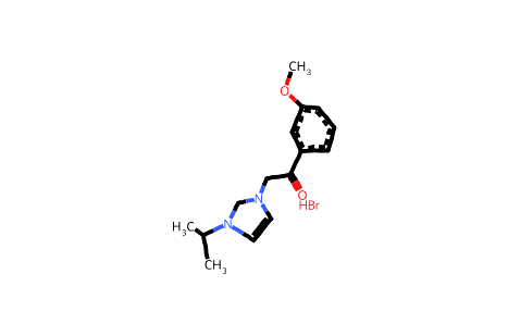 Br.COc1cccc(C(=O)CN2C=CN(C(C)C)C2)c1